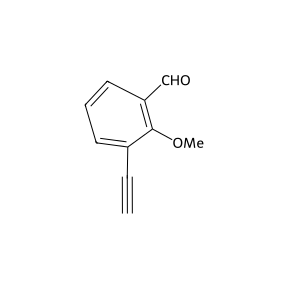 C#Cc1cccc(C=O)c1OC